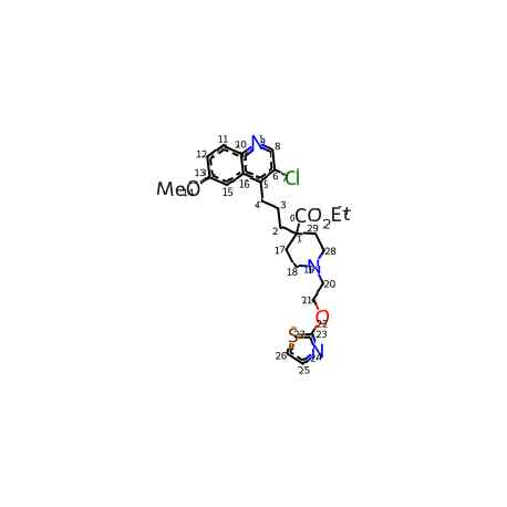 CCOC(=O)C1(CCCc2c(Cl)cnc3ccc(OC)cc23)CCN(CCOc2nccs2)CC1